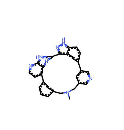 CN1Cc2cncc(c2)-c2ccc3[nH]nc(c3c2)-c2nc3c(ccnc3[nH]2)-c2cccc(c2)C1